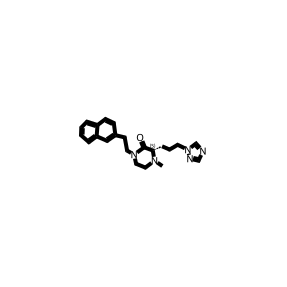 CN1CCN(CCc2ccc3ccccc3c2)C(=O)[C@@H]1CCCn1cncn1